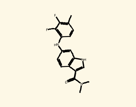 Cc1ccc(Nc2ccc3c(C(=O)N(C)C)c[nH]c3c2)c(F)c1F